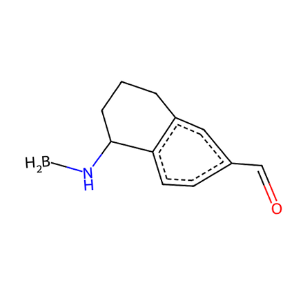 BNC1CCCc2cc(C=O)ccc21